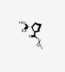 COC(=O)C1CCC[C@H]1C(=O)O